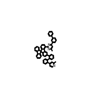 Cc1cc(-c2ccccc2-c2ccccc2-c2ccc3c(c2)-c2c(-c4nc(C)cc(-c5cccc(-c6ccccc6)c5)n4)cccc2C32c3ccccc3-c3ccccc32)ccn1